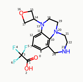 O=C(O)C(F)(F)F.c1cc2c3c(c1)N(C1COC1)CCN3CCNC2